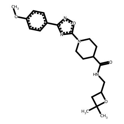 COc1ccc(-c2noc(N3CCC(C(=O)NCC4CC(C)(C)O4)CC3)n2)cc1